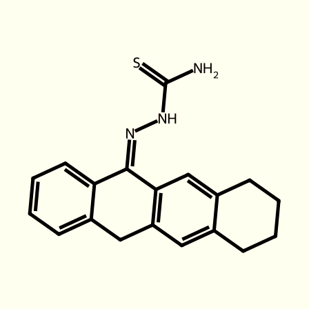 NC(=S)NN=C1c2ccccc2Cc2cc3c(cc21)CCCC3